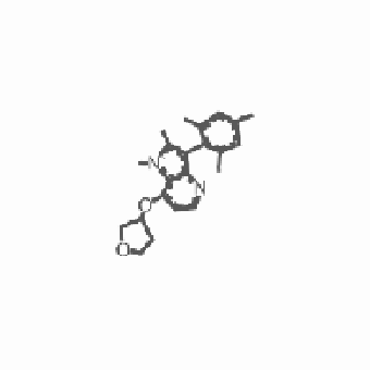 Cc1cc(C)c(-c2c(C)n(C)c3c(OC4CCOC4)ccnc23)c(C)c1